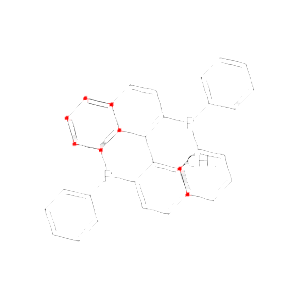 Cc1cccc(P(c2ccccc2)c2ccccc2)c1-c1c(P(c2ccccc2)c2ccccc2)ccc2ccccc12